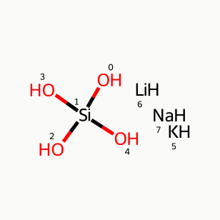 O[Si](O)(O)O.[KH].[LiH].[NaH]